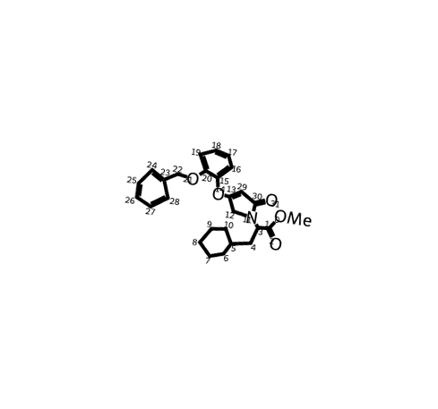 COC(=O)C(CC1CCCCC1)N1CC(Oc2ccccc2OCc2ccccc2)=CC1=O